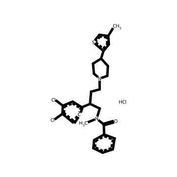 Cc1csc(C2CCN(CCC(CN(C)C(=O)c3ccccc3)c3ccc(Cl)c(Cl)c3)CC2)c1.Cl